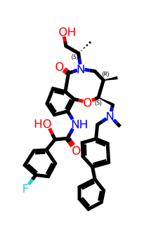 C[C@@H]1CN([C@@H](C)CO)C(=O)c2cccc(NC(=O)C(O)c3ccc(F)cc3)c2O[C@@H]1CN(C)Cc1ccc(-c2ccccc2)cc1